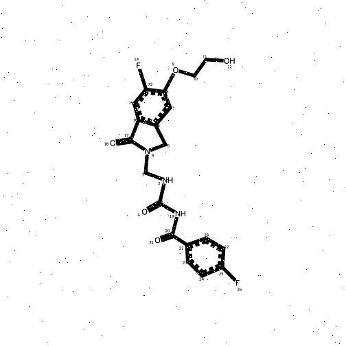 O=C(NCN1Cc2cc(OCCO)c(F)cc2C1=O)NC(=O)c1ccc(F)cc1